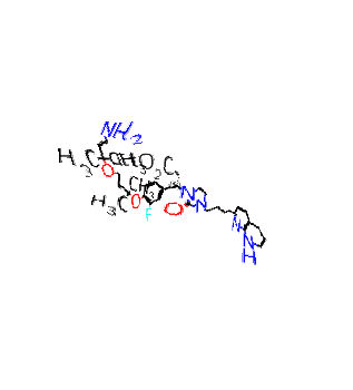 CCOC(=O)C[C@@H](c1ccc(OC(C)(C)CCOC(C)(C)CCN)c(F)c1)N1CCN(CCCc2ccc3c(n2)NCCC3)C1=O